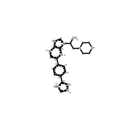 CC(CN1CCOCC1)n1cnc2ncc(-c3ccc(-c4nnc[nH]4)cc3)nc21